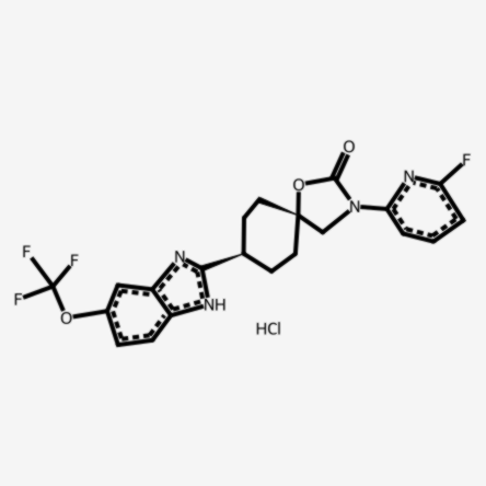 Cl.O=C1O[C@]2(CC[C@H](c3nc4cc(OC(F)(F)F)ccc4[nH]3)CC2)CN1c1cccc(F)n1